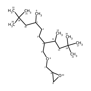 CC(CCC(COCC1CO1)C(C)CC(C)(C)C)CC(C)(C)C